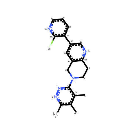 Cc1c(C#N)nnc(N2CCc3ncc(-c4cccnc4F)cc3C2)c1C